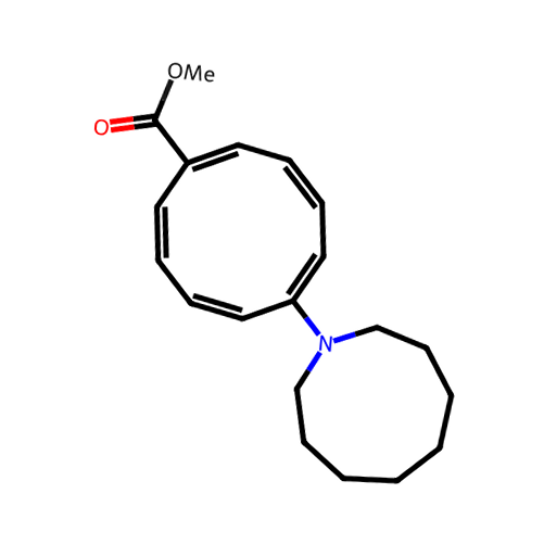 COC(=O)c1ccccc(N2CCCCCCCC2)cccc1